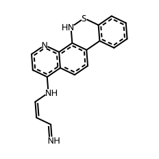 N=C/C=C\Nc1ccnc2c3c(ccc12)-c1ccccc1SN3